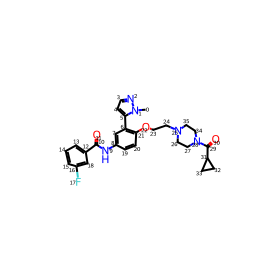 Cn1nccc1-c1cc(NC(=O)c2cccc(F)c2)ccc1OCCN1CCN(C(=O)C2CC2)CC1